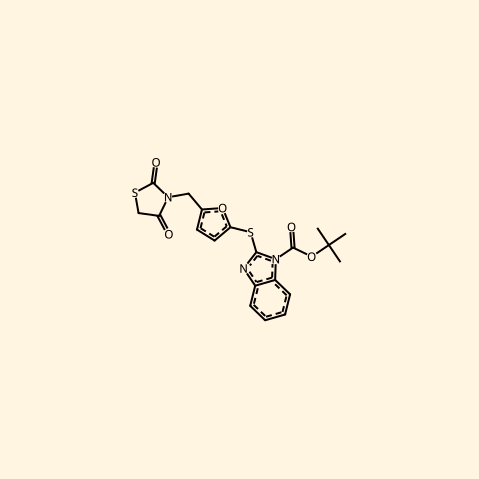 CC(C)(C)OC(=O)n1c(Sc2ccc(CN3C(=O)CSC3=O)o2)nc2ccccc21